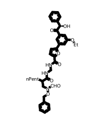 CCCCCC(CN(C=O)OCc1ccccc1)C(=O)NCNC(=O)c1ccc(-c2cc(OCC)cc(C(=O)[C@H](O)c3ccccc3)c2)o1